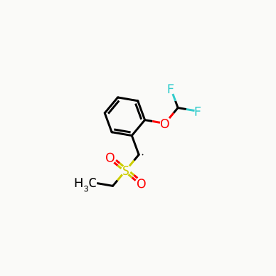 CCS(=O)(=O)[CH]c1ccccc1OC(F)F